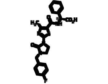 Cc1nc(N2CCN(Cc3ccc(F)cc3)C2=O)sc1C(=O)N[C@H](C(=O)O)c1ccccc1